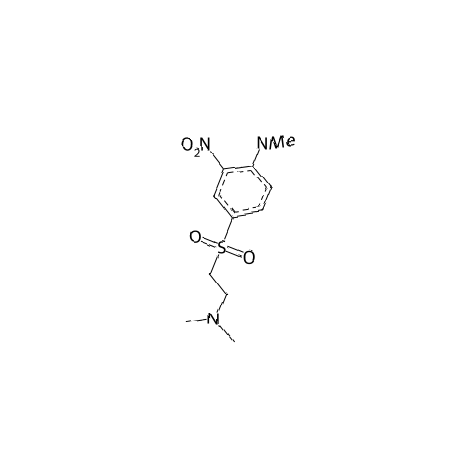 CNc1ccc(S(=O)(=O)CCN(C)C)cc1[N+](=O)[O-]